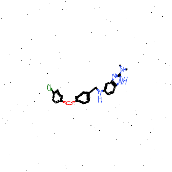 CN(C)c1nc2cc(NCc3ccc(Oc4ccc(Cl)cc4)cc3)ccc2[nH]1